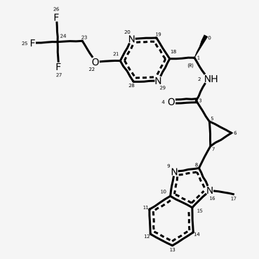 C[C@@H](NC(=O)C1CC1c1nc2ccccc2n1C)c1cnc(OCC(F)(F)F)cn1